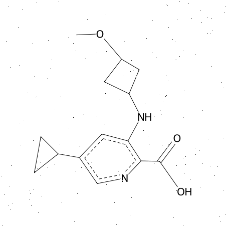 COC1CC(Nc2cc(C3CC3)cnc2C(=O)O)C1